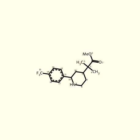 COC(=O)C(C)(C)C1CCNC(c2ccc(C(F)(F)F)cc2)C1